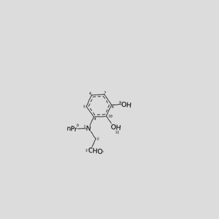 CCCN(C[C]=O)c1cccc(O)c1O